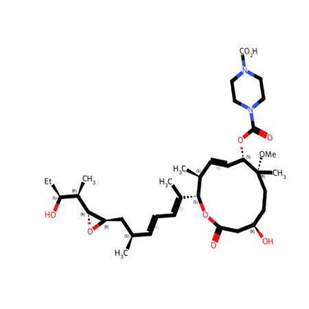 CC[C@H](O)[C@@H](C)[C@H]1O[C@@H]1C[C@H](C)/C=C/C=C(\C)[C@H]1OC(=O)C[C@H](O)CC[C@@](C)(OC)[C@@H](OC(=O)N2CCN(C(=O)O)CC2)/C=C/[C@@H]1C